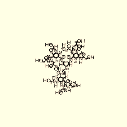 O=C(CO)Nc1c(I)c(C(=O)NCCC(CCNC(=O)c2c(I)c(NC(=O)CO)c(I)c(C(=O)N(CC(O)CO)CC(O)CO)c2I)CCNC(=O)c2c(I)c(NC(=O)CO)c(I)c(C(=O)N(CC(O)CO)CC(O)CO)c2I)c(I)c(C(=O)N(CC(O)CO)CC(O)CO)c1I